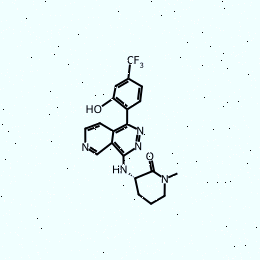 CN1CCC[C@H](Nc2nnc(-c3ccc(C(F)(F)F)cc3O)c3ccncc23)C1=O